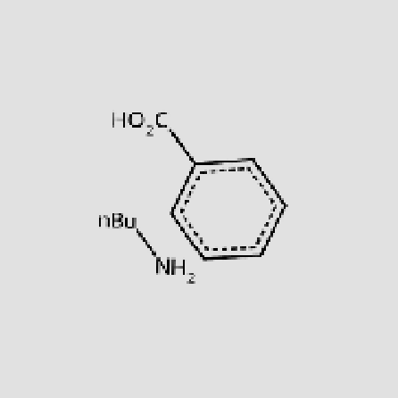 CCCCN.O=C(O)c1ccccc1